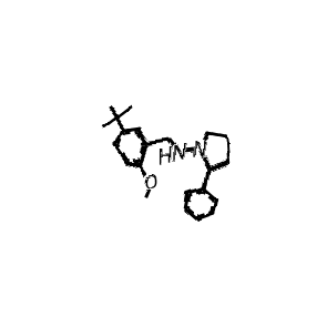 COc1ccc(C(C)(C)C)cc1CNN1CCCC1c1ccccc1